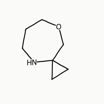 C1CNC2(CC2)COC1